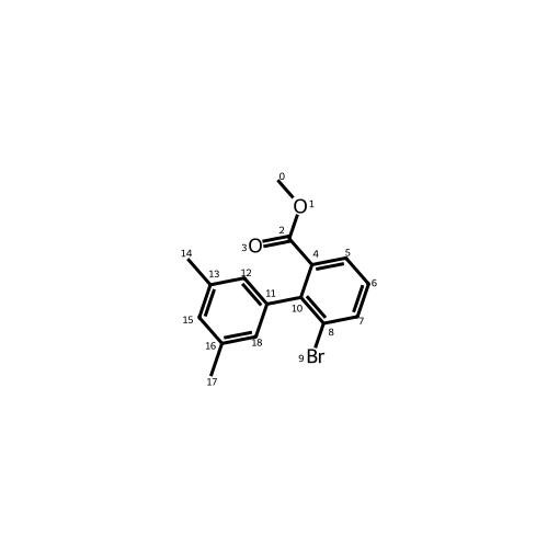 COC(=O)c1cccc(Br)c1-c1cc(C)cc(C)c1